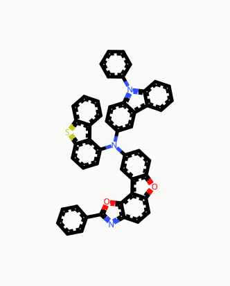 c1ccc(-c2nc3ccc4oc5ccc(N(c6ccc7c(c6)c6ccccc6n7-c6ccccc6)c6cccc7sc8ccccc8c67)cc5c4c3o2)cc1